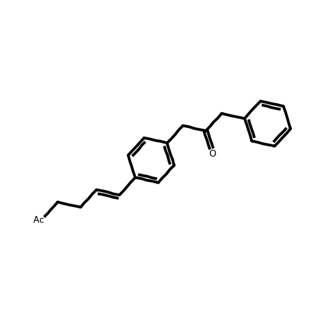 CC(=O)CC/C=C/c1ccc(CC(=O)Cc2ccccc2)cc1